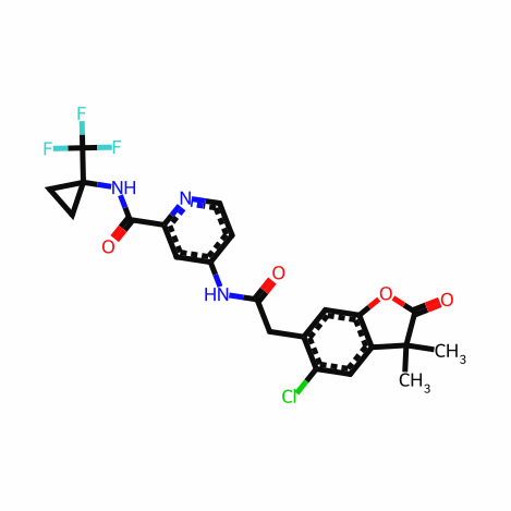 CC1(C)C(=O)Oc2cc(CC(=O)Nc3ccnc(C(=O)NC4(C(F)(F)F)CC4)c3)c(Cl)cc21